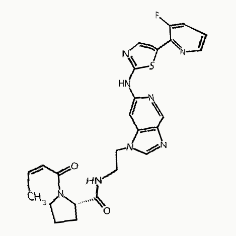 C/C=C\C(=O)N1CCC[C@H]1C(=O)NCCn1cnc2cnc(Nc3ncc(-c4ncccc4F)s3)cc21